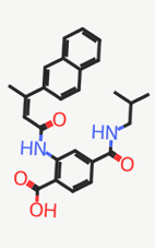 C/C(=C/C(=O)Nc1cc(C(=O)NCC(C)C)ccc1C(=O)O)c1ccc2ccccc2c1